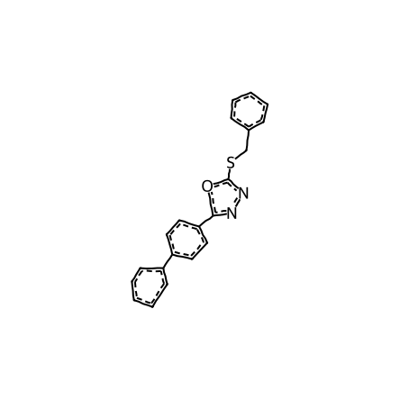 c1ccc(CSc2nnc(-c3ccc(-c4ccccc4)cc3)o2)cc1